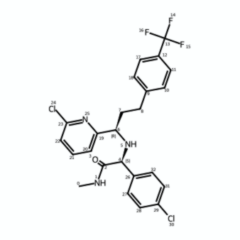 CNC(=O)[C@@H](N[C@H](CCc1ccc(C(F)(F)F)cc1)c1cccc(Cl)n1)c1ccc(Cl)cc1